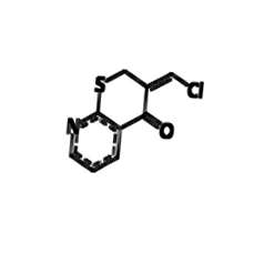 O=C1C(=CCl)CSc2ncccc21